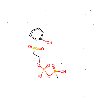 CP(=O)(O)OP(=O)(O)OCCS(=O)(=O)c1ccccc1O